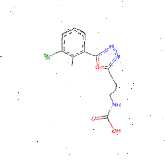 Cc1c(Br)cccc1-c1nnc(CCNC(=O)O)o1